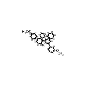 COc1cccc(C2=NC(c3ccccc3Cl)(C3(c4ccccc4Cl)N=CC(c4cccc(OC)c4)=N3)N=C2)c1